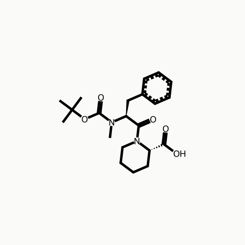 CN(C(=O)OC(C)(C)C)[C@@H](Cc1ccccc1)C(=O)N1CCCC[C@H]1C(=O)O